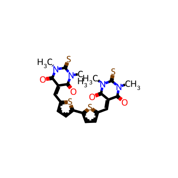 CN1C(=O)C(=Cc2ccc(-c3ccc(C=C4C(=O)N(C)C(=S)N(C)C4=O)s3)s2)C(=O)N(C)C1=S